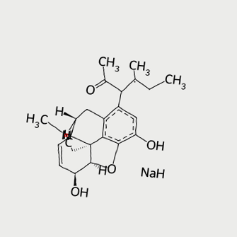 CC[C](C)C(C(C)=O)c1cc(O)c2c3c1C[C@@H]1[C@@H]4C=C[C@H](O)[C@H](O2)[C@]34CCN1C.[NaH]